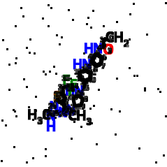 C=CC(=O)Nc1cccc(Nc2ccc(CNC3CCC(N(C)c4nc(NC)nc5sc(CC(F)(F)F)cc45)C3)cc2)c1